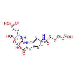 O=C(O)CCC(NC(=O)NC(Cc1ccc(NC(=O)CCOCCO)cc1)C(=O)O)C(=O)O